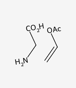 C=COC(C)=O.NCC(=O)O